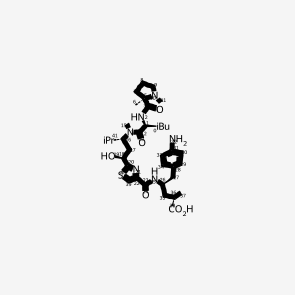 CC[C@H](C)[C@H](NC(=O)[C@@]1(C)CCCN1C)C(=O)N(C)[C@H](C[C@H](O)c1nc(C(=O)N[C@@H](Cc2ccc(N)cc2)C[C@H](C)C(=O)O)cs1)C(C)C